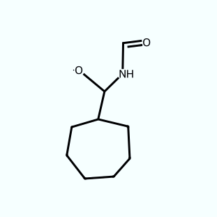 [O]C(NC=O)C1CCCCCC1